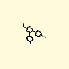 CCc1cnc(-c2ccc(Cl)cc2)c(-c2ccc(Cl)cc2)n1